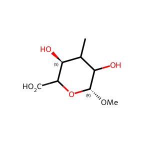 CO[C@@H]1OC(C(=O)O)[C@@H](O)C(C)C1O